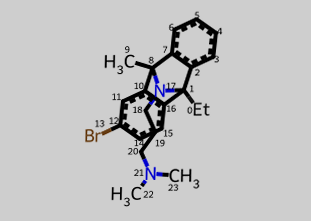 CCC12c3ccccc3C(C)(c3cc(Br)ccc31)N2CCCN(C)C